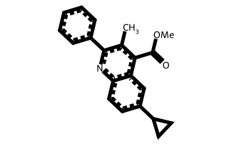 COC(=O)c1c(C)c(-c2ccccc2)nc2ccc(C3CC3)cc12